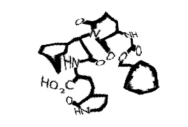 O=C(NC1CCC(=O)N(C(CC2CCCCC2)C(=O)NC(CC2CCNC2=O)C(=O)O)C1=O)OCc1ccccc1